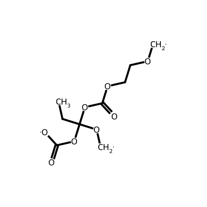 [CH2]OCCOC(=O)OC(CC)(O[CH2])OC([O])=O